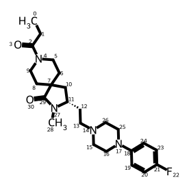 CCC(=O)N1CCC2(CC1)C[C@H](CCN1CCN(c3ccc(F)cc3)CC1)N(C)C2=O